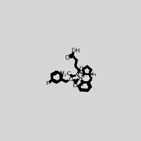 CCN(C(=O)CCC(=O)O)[N@@+]1(C(=O)OCc2cccc(F)c2)c2ccccc2C[C@H]2CCC[C@H]21